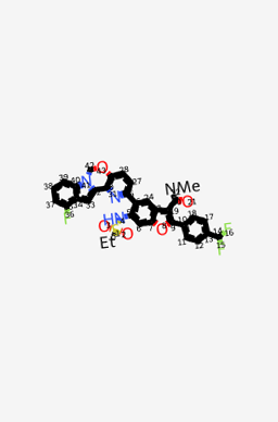 CCS(=O)(=O)Nc1cc2oc(-c3ccc(C(F)F)cc3)c(C(=O)NC)c2cc1-c1ccc2c(n1)-c1cc3c(F)cccc3n1CO2